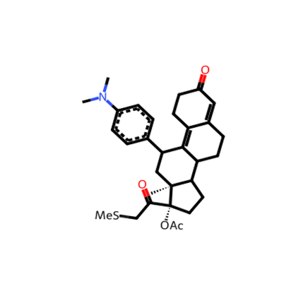 CSCC(=O)[C@]1(OC(C)=O)CCC2C3CCC4=CC(=O)CCC4=C3C(c3ccc(N(C)C)cc3)C[C@@]21C